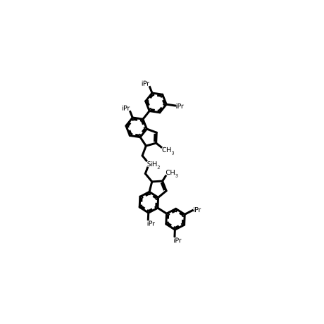 CC1=Cc2c(ccc(C(C)C)c2-c2cc(C(C)C)cc(C(C)C)c2)C1C[SiH2]CC1C(C)=Cc2c1ccc(C(C)C)c2-c1cc(C(C)C)cc(C(C)C)c1